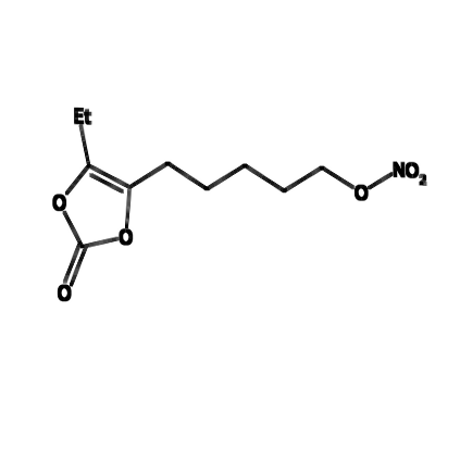 CCc1oc(=O)oc1CCCCCO[N+](=O)[O-]